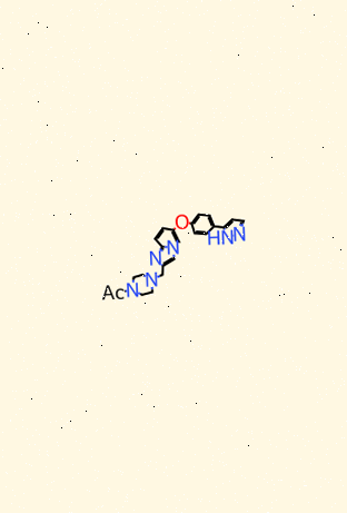 CC(=O)N1CCN(Cc2cn3cc(Oc4ccc(-c5ccn[nH]5)cc4)ccc3n2)CC1